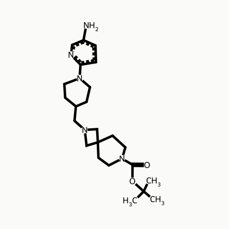 CC(C)(C)OC(=O)N1CCC2(CC1)CN(CC1CCN(c3ccc(N)cn3)CC1)C2